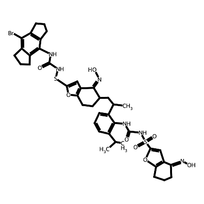 CC(C)c1cccc(C(C)CC2CCc3oc(SNC(=O)Nc4c5c(c(Br)c6c4CCC6)CCC5)cc3/C2=N\O)c1NC(=O)NS(=O)(=O)c1cc2c(o1)CCC/C2=N\O